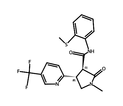 CSc1ccccc1NC(=O)[C@H]1C(=O)N(C)C[C@@H]1c1ccc(C(F)(F)F)cn1